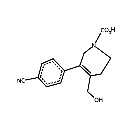 N#Cc1ccc(C2=C(CO)CCN(C(=O)O)C2)cc1